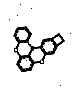 c1ccc2c(c1)Oc1cccc3c1B2c1cc2c(cc1O3)CC2